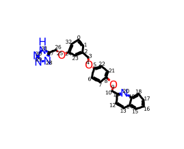 c1cc(COc2ccc(OCc3ccc4ccccc4n3)cc2)cc(OCc2nnn[nH]2)c1